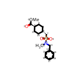 COC(=O)[C@H]1CC[C@H](CS(=O)(=O)N(C)Cc2ccccc2)CC1